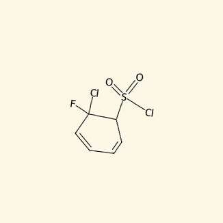 O=S(=O)(Cl)C1C=CC=CC1(F)Cl